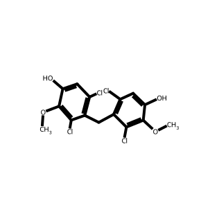 COc1c(O)cc(Cl)c(Cc2c(Cl)cc(O)c(OC)c2Cl)c1Cl